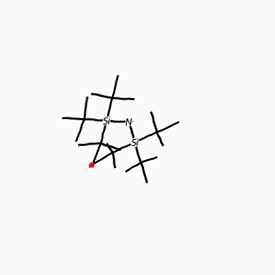 CC(C)(C)[Si]([N][Si](C(C)(C)C)(C(C)(C)C)C(C)(C)C)(C(C)(C)C)C(C)(C)C